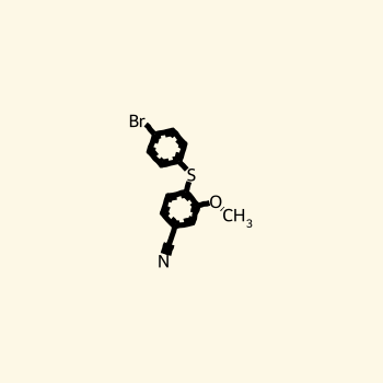 COc1cc(C#N)ccc1Sc1ccc(Br)cc1